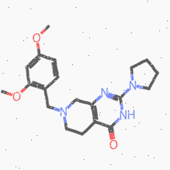 COc1ccc(CN2CCc3c(nc(N4CCCC4)[nH]c3=O)C2)c(OC)c1